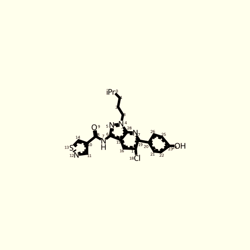 CC(C)CCCn1nc(NC(=O)c2cnsc2)c2cc(Cl)c(-c3ccc(O)cc3)nc21